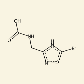 O=C(O)NCc1ncc(Br)[nH]1